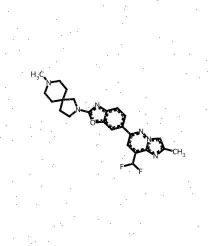 Cc1cn2nc(-c3ccc4nc(N5CCC6(CCN(C)CC6)C5)oc4c3)cc(C(F)F)c2n1